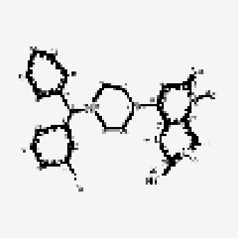 CCn1c(=O)cc(N2CCN(C(c3ccccc3)c3cccc(F)c3)CC2)c2nc(C#N)ccc21